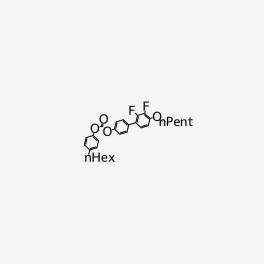 CCCCCCc1ccc(OC(=O)Oc2ccc(-c3ccc(OCCCCC)c(F)c3F)cc2)cc1